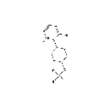 Cc1cccc(I)c1C1CCC(OC(F)(F)F)CC1